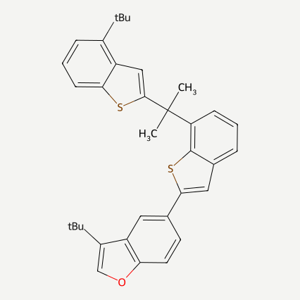 CC(C)(C)c1coc2ccc(-c3cc4cccc(C(C)(C)c5cc6c(C(C)(C)C)cccc6s5)c4s3)cc12